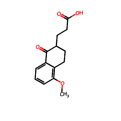 COc1cccc2c1CCC(CCC(=O)O)C2=O